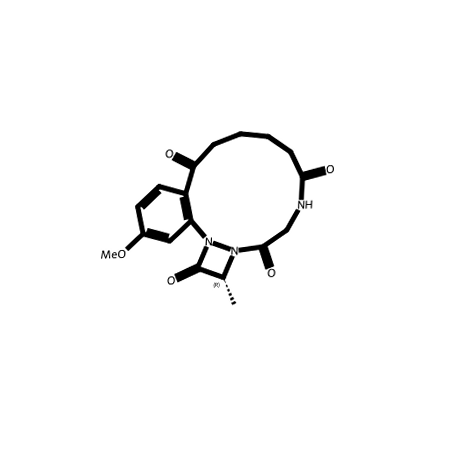 COc1ccc2c(c1)N1C(=O)[C@@H](C)N1C(=O)CNC(=O)CCCCC2=O